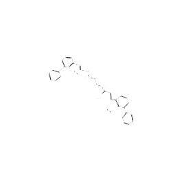 N#Cc1c(C=CC(=O)NCCNC(=O)C=Cc2cccc(-c3ccccc3)c2C#N)cccc1-c1ccccc1